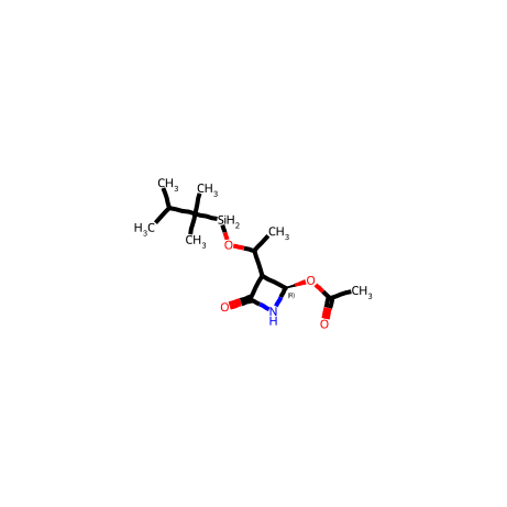 CC(=O)O[C@H]1NC(=O)C1C(C)O[SiH2]C(C)(C)C(C)C